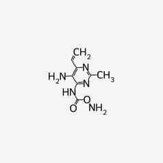 C=Cc1nc(C)nc(NC(=O)ON)c1N